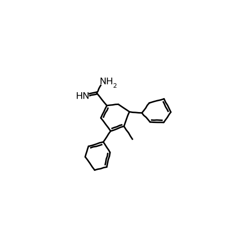 CC1=C(C2=CCCC=C2)C=C(C(=N)N)CC1C1C=CC=CC1